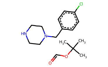 CC(C)(C)OC=O.Clc1ccc(CN2CCNCC2)cc1